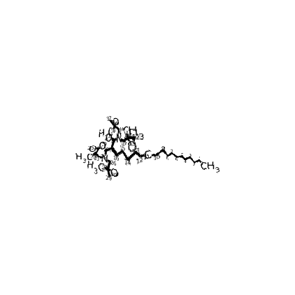 CCCCCCCCCCCCCCCCC=C(C(=O)N(CC1(C)CO1)CC1(C)CO1)C(=O)N(CC1(C)CO1)CC1(C)CO1